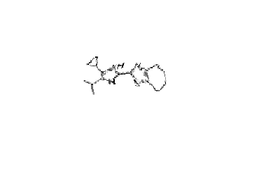 C=C(C)c1nc(-c2nc3c(s2)CCCC3)[nH]c1C1CC1